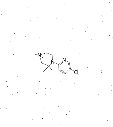 CN1CCN(c2ccc(Cl)cn2)C(C)(C)C1